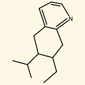 CCC1Cc2ncccc2CC1C(C)C